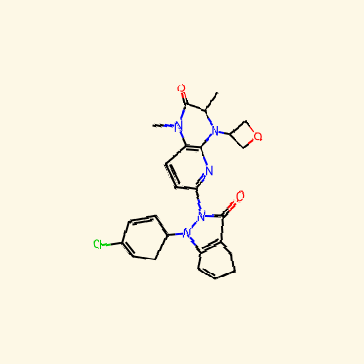 CC1C(=O)N(C)c2ccc(-n3c(=O)c4c(n3C3C=CC(Cl)=CC3)C=CCC4)nc2N1C1COC1